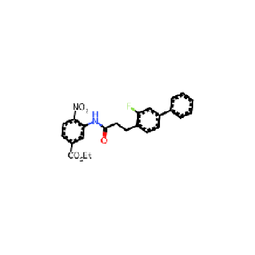 CCOC(=O)c1ccc([N+](=O)[O-])c(NC(=O)CCc2ccc(-c3ccccc3)cc2F)c1